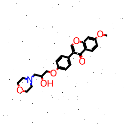 COc1ccc2c(=O)c(-c3ccc(OCC(O)CN4CCOCC4)cc3)coc2c1